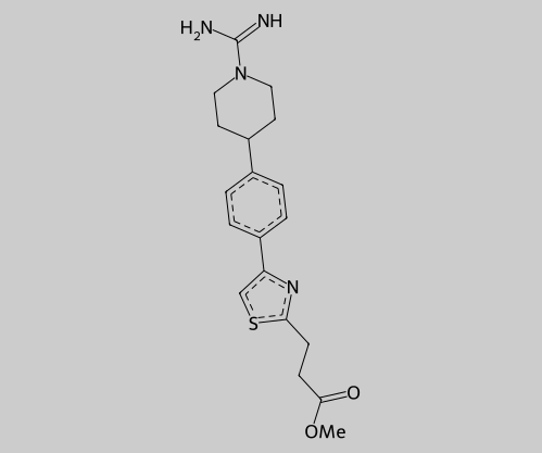 COC(=O)CCc1nc(-c2ccc(C3CCN(C(=N)N)CC3)cc2)cs1